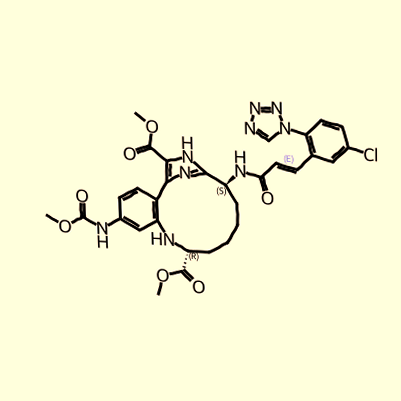 COC(=O)Nc1ccc2c(c1)N[C@@H](C(=O)OC)CCCC[C@H](NC(=O)/C=C/c1cc(Cl)ccc1-n1cnnn1)c1nc-2c(C(=O)OC)[nH]1